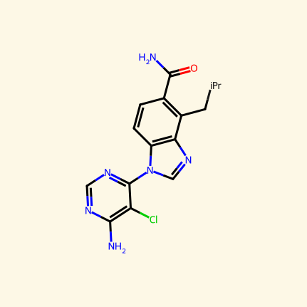 CC(C)Cc1c(C(N)=O)ccc2c1ncn2-c1ncnc(N)c1Cl